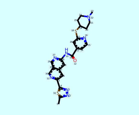 Cc1nnc(-c2cc3cc(NC(=O)c4ccnc(SC5CCN(C)CC5)c4)ncc3cn2)s1